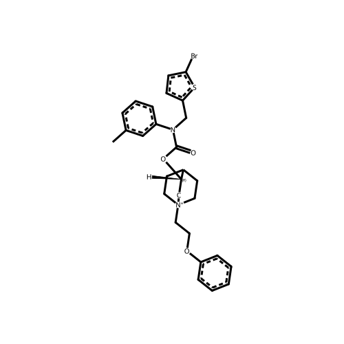 Cc1cccc(N(Cc2ccc(Br)s2)C(=O)O[C@H]2C[N+]3(CCOc4ccccc4)CCC2CC3)c1